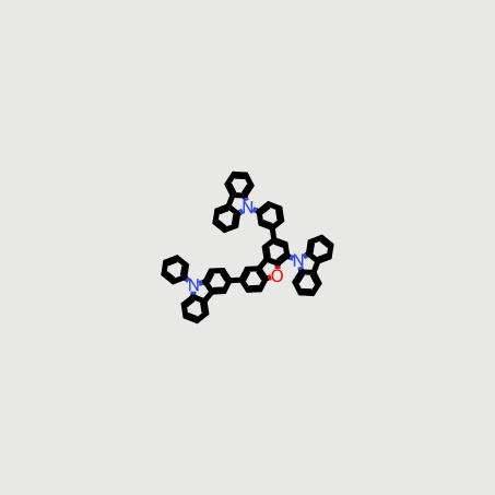 c1ccc(-n2c3ccccc3c3cc(-c4ccc5oc6c(-n7c8ccccc8c8ccccc87)cc(-c7cccc(-n8c9ccccc9c9ccccc98)c7)cc6c5c4)ccc32)cc1